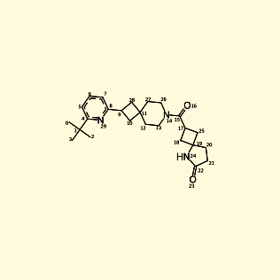 CC(C)(C)c1cccc(C2CC3(CCN(C(=O)C4CC5(CCC(=O)N5)C4)CC3)C2)n1